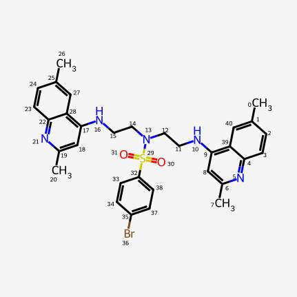 Cc1ccc2nc(C)cc(NCCN(CCNc3cc(C)nc4ccc(C)cc34)S(=O)(=O)c3ccc(Br)cc3)c2c1